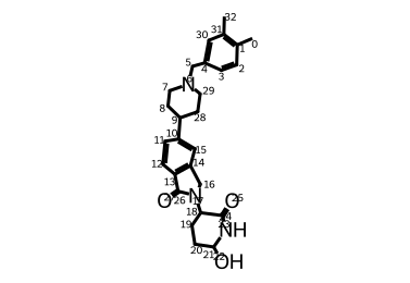 Cc1ccc(CN2CCC(c3ccc4c(c3)CN(C3CCC(O)NC3=O)C4=O)CC2)cc1C